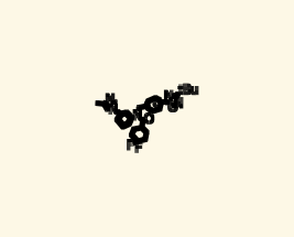 Cc1cn(-c2cccc(N(CC34CCC(c5nc(C(C)(C)C)no5)(CC3)CC4)C(=O)C3CCC(F)(F)CC3)c2)cn1